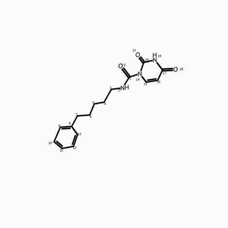 O=C(NCCCCCc1ccccc1)n1ccc(=O)[nH]c1=O